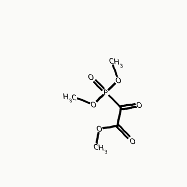 COC(=O)C(=O)P(=O)(OC)OC